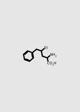 CCC(Cc1ccccc1)CC(N)C(=O)O